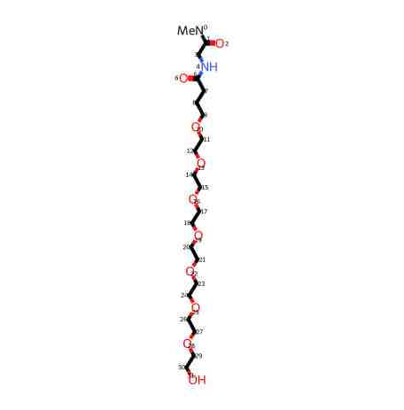 CNC(=O)CNC(=O)CCCOCCOCCOCCOCCOCCOCCOCCO